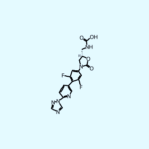 O=C(O)NC[C@H]1CN(c2cc(F)c(-c3ccc(-n4cncn4)nc3)c(F)c2)C(=O)O1